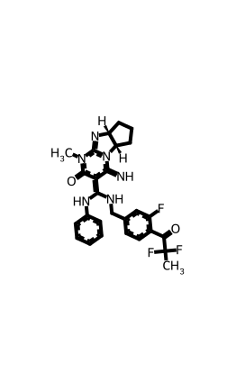 Cn1c(=O)/c(=C(/NCc2ccc(C(=O)C(C)(F)F)c(F)c2)Nc2ccccc2)c(=N)n2c1=N[C@@H]1CCC[C@@H]12